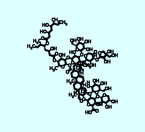 CC[C@H](C)[C@H](C[C@H](O)CC(=O)O[C@@H]1[C@H](O)[C@@H](O[C@@H]2O[C@@H](C)[C@H](O[C@@H]3OC[C@@H](O)[C@H](OC4=C(O)[C@@](O)(CO)CO4)[C@H]3O)[C@@H](O[C@@H]3O[C@H](CO)[C@@H](O)[C@H](O)[C@H]3O)[C@H]2O)[C@H](OC(=O)[C@@]23CCC4C(=CC[C@@H]5[C@@]6(C)CC[C@H](O[C@@H]7O[C@H](C(=O)O)[C@@H](O)[C@H](O[C@@H]8OC[C@@H](O)[C@H](O)[C@H]8O)[C@H]7O[C@@H]7O[C@H](CO)[C@H](O)[C@H](O)[C@H]7O)[C@@](C)(C=O)[C@@H]6CC[C@@]45C)[C@@H]2CC(C)(C)CC3)O[C@@H]1C)OC(=O)C[C@@H](O)C[C@H](O)[C@@H](C)CC